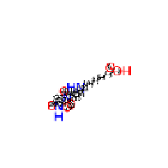 O=C(O)CCCCCCCCCNc1ccc2c(c1)C(=O)N(C1CCC(=O)NC1=O)C2=O